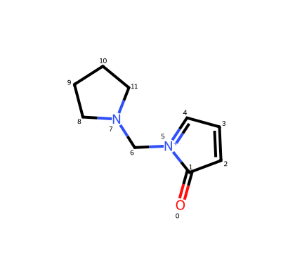 O=C1C=CC=[N+]1CN1CCCC1